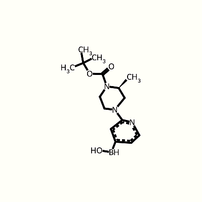 C[C@H]1CN(c2cc(BO)ccn2)CCN1C(=O)OC(C)(C)C